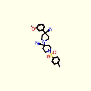 COc1cccc(C2(C#N)CCN(C3(C#N)CCN(S(=O)(=O)c4ccc(C)cc4)CC3)CC2)c1